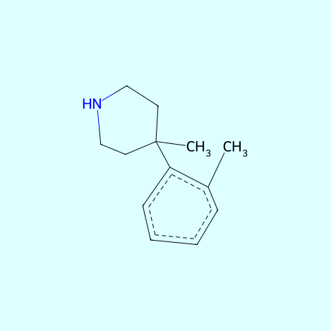 Cc1ccccc1C1(C)CCNCC1